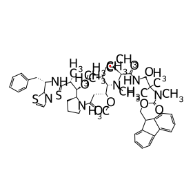 CC[C@H](C)[C@@H]([C@@H](CC(=O)N1CCC[C@H]1[C@H](OC)[C@@H](C)C(=S)N[C@@H](Cc1ccccc1)c1nccs1)OC)N(C)[C@H](C(=O)NC(=O)C(C)(C)N(C)C(=O)OCC1c2ccccc2-c2ccccc21)C(C)C